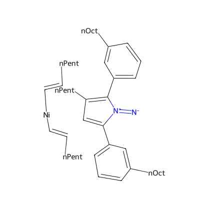 CCCCCC=[CH][Ni][CH]=CCCCCC.CCCCCCCCc1cccc(C2=CC(CCCCC)=C(c3cccc(CCCCCCCC)c3)[N+]2=[N-])c1